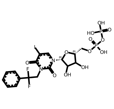 O=c1c(I)cn([C@@H]2O[C@H](COP(=O)(O)OP(=O)(O)O)C(O)C2O)c(=O)n1CC(F)(F)c1ccccc1